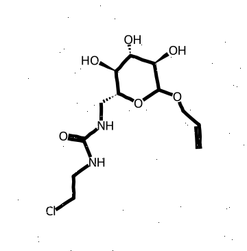 C=CCOC1O[C@H](CNC(=O)NCCCl)[C@@H](O)[C@H](O)[C@H]1O